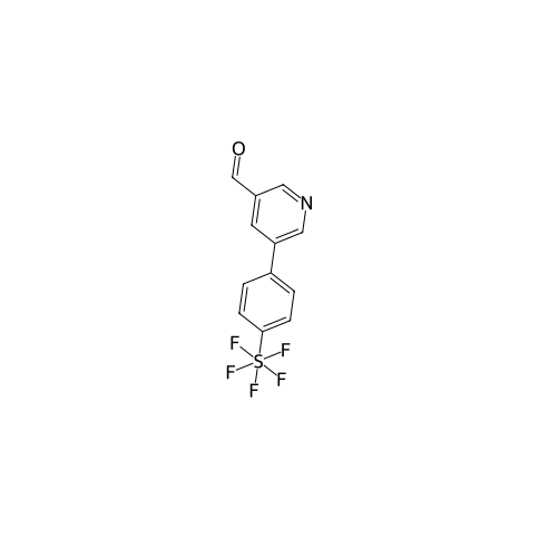 O=Cc1cncc(-c2ccc(S(F)(F)(F)(F)F)cc2)c1